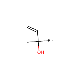 C=CC(C)(O)[CH]C